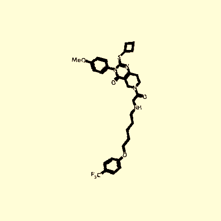 COc1ccc(-n2c(SC3CCC3)nc3c(c2=O)CN(C(=O)CNCCCCCOc2ccc(C(F)(F)F)cc2)CC3)cc1